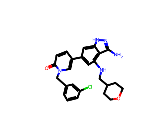 Nc1n[nH]c2cc(-c3ccc(=O)n(Cc4cccc(Cl)c4)c3)cc(NCC3CCOCC3)c12